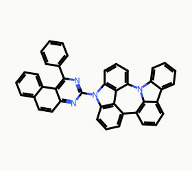 c1ccc(-c2nc(-n3c4cccc5c6cccc7c8ccccc8n(c8cccc3c8c54)c67)nc3ccc4ccccc4c23)cc1